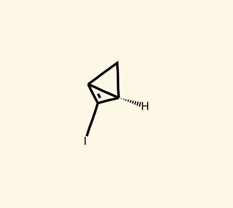 IC1=C2C[C@@H]12